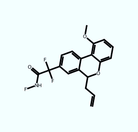 C=CCC1Oc2cccc(OC)c2-c2ccc(C(F)(F)C(=O)NF)cc21